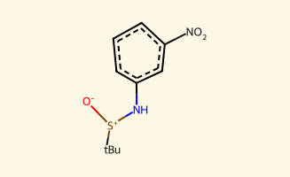 CC(C)(C)[S+]([O-])Nc1cccc([N+](=O)[O-])c1